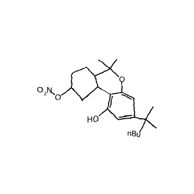 CCCCC(C)(C)c1cc(O)c2c(c1)OC(C)(C)C1CCC(O[N+](=O)[O-])CC21